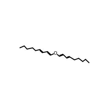 CCCCCC=CC=COC=CC=CCCCCC